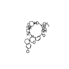 C[C@H]1CO[C@H]2CCO[C@@H](C2)[C@@H]2CC[C@H]2CN2C[C@@]3(CCCc4cc(Cl)ccc43)COc3ccc(cc32)C(=O)NS1(=O)=O